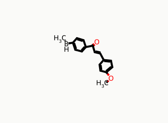 CBc1ccc(C(=O)/C=C/c2ccc(OC)cc2)cc1